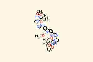 COCCn1c2cc(-c3cnc([C@@H]4CCCN4C(=O)[C@@H](NC(=O)OC)C(C)C)[nH]3)ccc2c2ccc(-c3cnc([C@@H]4CCCN4C(=O)[C@@H](NC(=O)OC)C(C)C)[nH]3)cc21